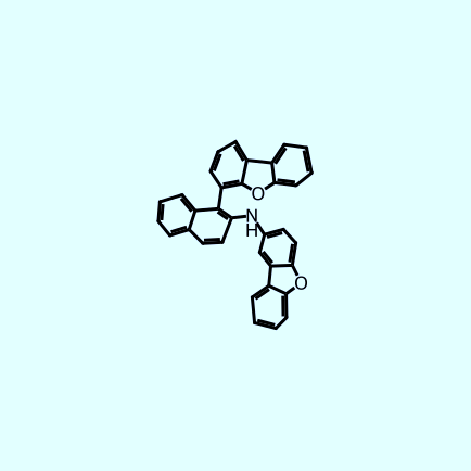 c1ccc2c(-c3cccc4c3oc3ccccc34)c(Nc3ccc4oc5ccccc5c4c3)ccc2c1